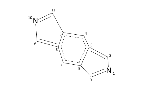 C1=NC=c2cc3c(cc21)=CN=C3